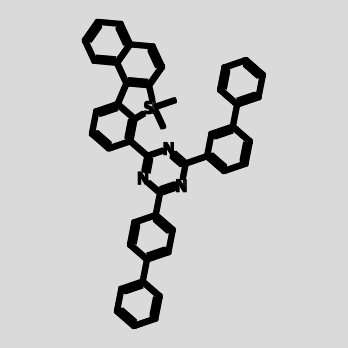 C[Si]1(C)c2ccc3ccccc3c2-c2cccc(-c3nc(-c4ccc(-c5ccccc5)cc4)nc(-c4cccc(-c5ccccc5)c4)n3)c21